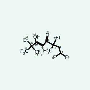 CCC(C)(CC(F)F)C(=O)/C=C(\O)C(CC)(C(F)(F)F)C(F)(F)F